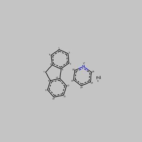 [Pd].c1ccc2c(c1)Cc1ccccc1-2.c1ccncc1